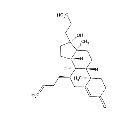 C=CCC[C@@H]1CC2=CC(=O)CC[C@]2(C)[C@H]2CC[C@@]3(C)[C@@H](CC[C@@]3(O)CCC(=O)O)[C@H]12